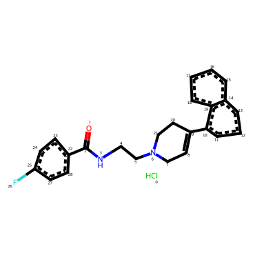 Cl.O=C(NCCN1CC=C(c2cccc3ccccc23)CC1)c1ccc(F)cc1